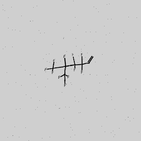 C=CC(F)(F)C(F)(F)C(F)(C(F)(F)F)C(F)(F)F